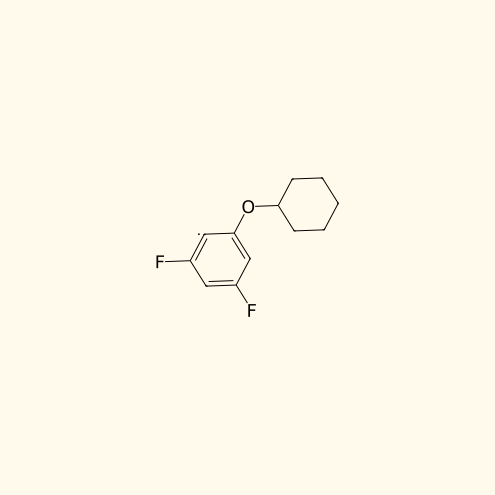 Fc1[c]c(OC2CCCCC2)cc(F)c1